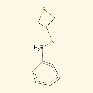 c1ccc([SiH2]SC2CSC2)cc1